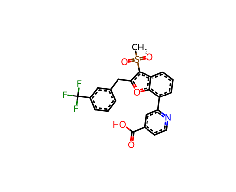 CS(=O)(=O)c1c(Cc2cccc(C(F)(F)F)c2)oc2c(-c3cc(C(=O)O)ccn3)cccc12